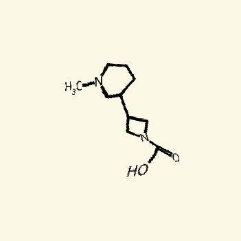 CN1CCCC(C2CN(C(=O)O)C2)C1